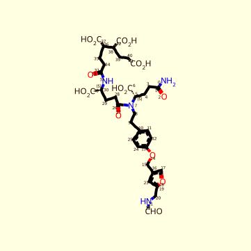 NC(=O)CC[C@@H](C(=O)O)N(CCc1ccc(OCc2coc(CNC=O)c2)cc1)C(=O)CC[C@H](NC(=O)CCC(C(=O)O)C(CCC(=O)O)C(=O)O)C(=O)O